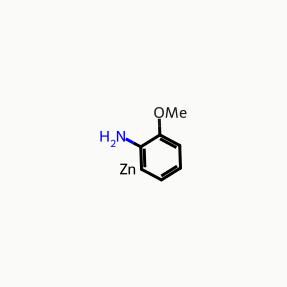 COc1ccccc1N.[Zn]